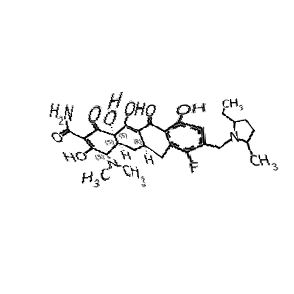 CCC1CCC(C)N1Cc1cc(O)c2c(c1F)C[C@H]1C[C@H]3[C@H](N(C)C)C(O)=C(C(N)=O)C(=O)[C@@]3(O)C(O)=C1C2=O